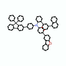 c1ccc(C2(c3ccccc3)c3ccccc3-c3ccc(-c4ccc(N(c5ccc(-c6ccc7oc8ccccc8c7c6)cc5)c5ccccc5-c5cccc(-c6cccc7ccccc67)c5)cc4)cc32)cc1